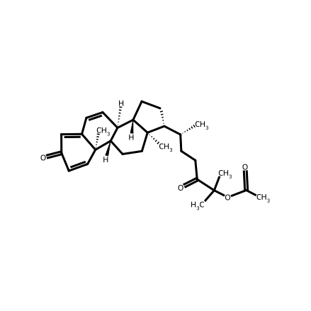 CC(=O)OC(C)(C)C(=O)CC[C@@H](C)[C@H]1CC[C@H]2[C@@H]3C=CC4=CC(=O)C=C[C@]4(C)[C@H]3CC[C@]12C